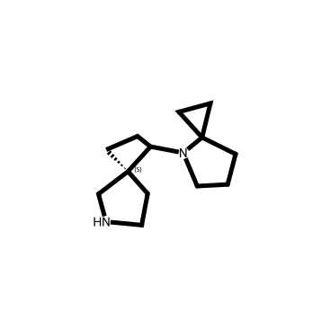 C1CN(C2CC[C@@]23CCNC3)C2(C1)CC2